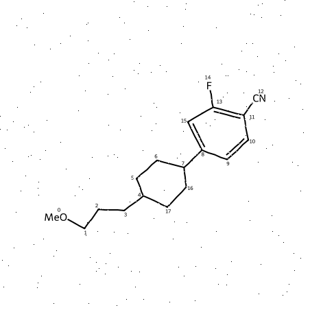 COCCCC1CCC(c2ccc(C#N)c(F)c2)CC1